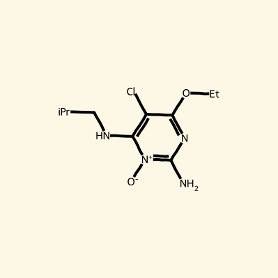 CCOc1nc(N)[n+]([O-])c(NCC(C)C)c1Cl